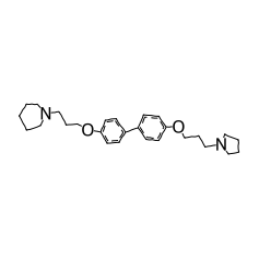 c1cc(-c2ccc(OCCCN3CCCC3)cc2)ccc1OCCCN1CCCCC1